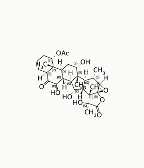 CC(=O)O[C@H]1CCC[C@@H]2C(=O)[C@H](O)[C@H]3[C@@H]4[C@@H](O)[C@@H]5[C@H]([C@H](C)[C@H]6O[C@]67OC(=O)[C@@](C)(O)[C@]57C)[C@@]4(C)[C@@H](O)C[C@@H]3[C@@]12C